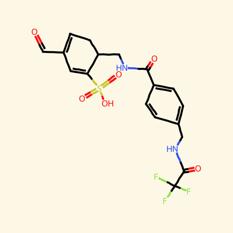 O=CC1=CCC(CNC(=O)c2ccc(CNC(=O)C(F)(F)F)cc2)C(S(=O)(=O)O)=C1